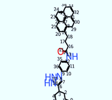 CCCC(CC)C1=CN(c2ccc(NC(=O)CCCc3ccc4ccc5c6c4c3CC=C6C=CC5)cc2)NN1